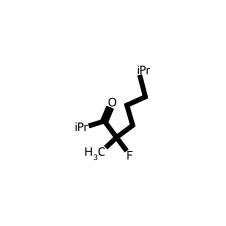 CC(C)CCCC(C)(F)C(=O)C(C)C